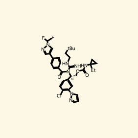 CCC1(NC(=O)OC[C@H](c2ccc(Cl)c(-n3cccn3)c2)N(C(=N)NCCC(C)(C)C)C(=O)c2ccc(-c3cnn(C(F)F)c3)cc2)CC1